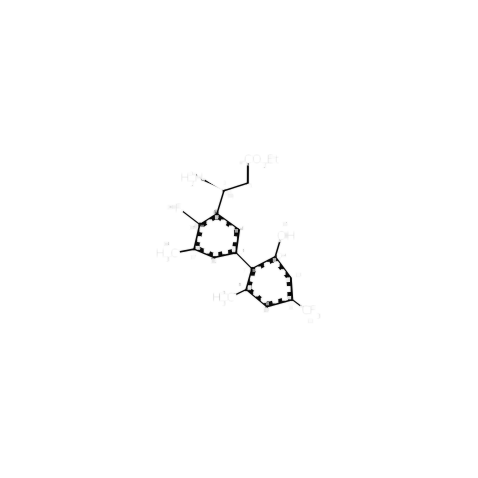 CCOC(=O)C[C@H](N)c1cc(-c2c(C)cc(C(F)(F)F)cc2O)cc(C)c1F